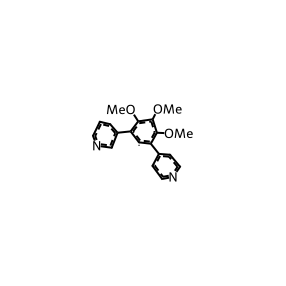 COc1c(-c2ccncc2)[c]c(-c2cccnc2)c(OC)c1OC